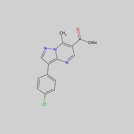 COC(=O)c1cnc2c(-c3ccc(Cl)cc3)cnn2c1C